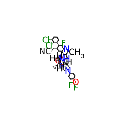 Cc1nc2c(F)c(-c3cccc(Cl)c3Cl)c(CCC#N)cc2c2c1cc([C@H]1[C@H]3C[C@H](CN(c4ccc(OC(F)F)cc4)C3)N1C(=O)C1CC1)n2[C@H]1[C@H]2CN[C@@H]1C2